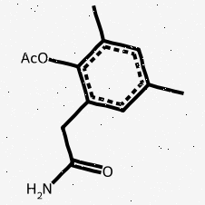 CC(=O)Oc1c(C)cc(C)cc1CC(N)=O